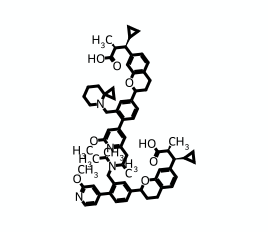 COc1cc(-c2ccc(C3CCc4ccc([C@H](C5CC5)[C@H](C)C(=O)O)cc4O3)cc2CN(C(C)C)C(C)Cc2cc(-c3ccc(C4CCc5ccc([C@H](C6CC6)[C@H](C)C(=O)O)cc5O4)cc3CN3CCCCC34CC4)cc(OC)n2)ccn1